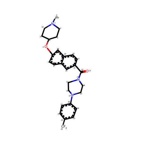 CC(C)N1CCC(Oc2ccc3cc(C(=O)N4CCN(c5ccc(C(F)(F)F)cc5)CC4)ccc3c2)CC1